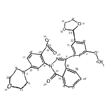 COc1cc(-c2nn(-c3cc(N4CCOCC4)ccc3[N+](=O)[O-])c(=O)c3ccccc23)cc(C2OCCO2)c1